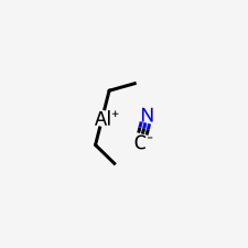 C[CH2][Al+][CH2]C.[C-]#N